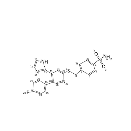 NS(=O)(=O)c1ccc(CSc2cc(-c3ncc[nH]3)c(-c3ccc(F)cc3)cn2)cc1